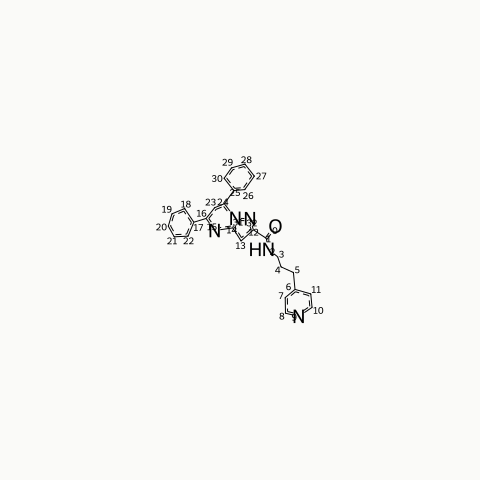 O=C(NCCCc1ccncc1)c1cc2nc(-c3ccccc3)cc(-c3ccccc3)n2n1